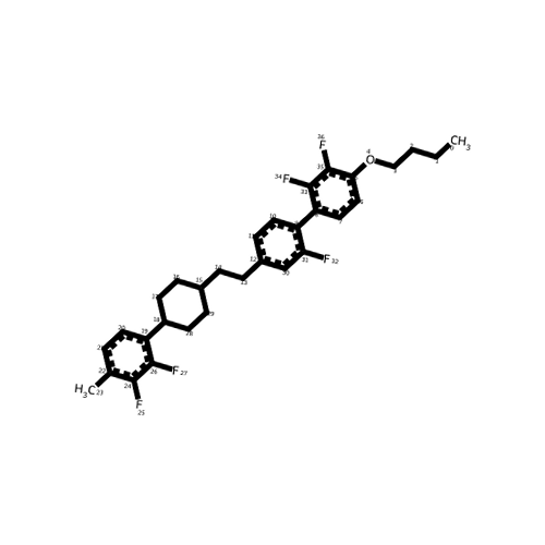 CCCCOc1ccc(-c2ccc(CCC3CCC(c4ccc(C)c(F)c4F)CC3)cc2F)c(F)c1F